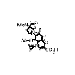 CN[C@@]1(CF)CCN(c2c(F)cc3c(c2OC)N(C2CC2)C=C(C(=O)O)C3)C1